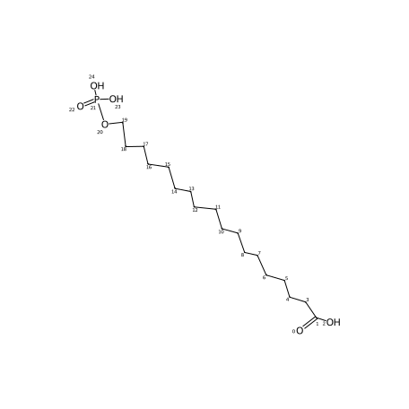 O=C(O)CCCCCCCCCCCCCCCCCOP(=O)(O)O